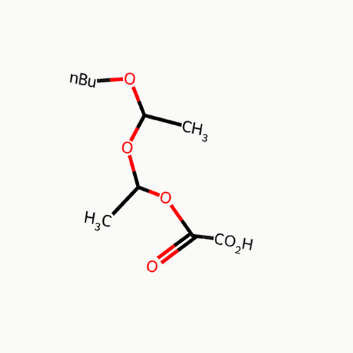 CCCCOC(C)OC(C)OC(=O)C(=O)O